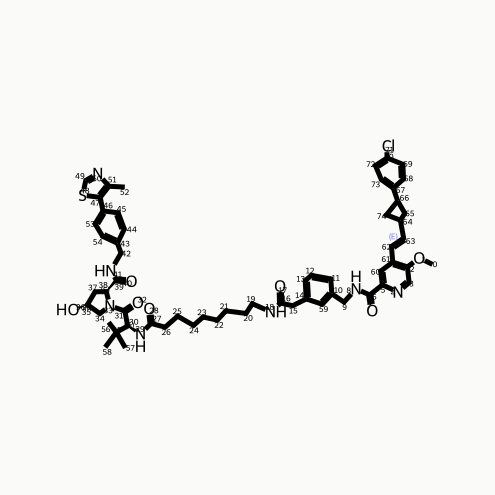 COc1cnc(C(=O)NCc2cccc(CC(=O)NCCCCCCCCC(=O)N[C@H](C(=O)N3C[C@H](O)C[C@H]3C(=O)NCc3ccc(-c4scnc4C)cc3)C(C)(C)C)c2)cc1/C=C/C1CC(c2ccc(Cl)cc2)C1